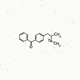 C[Te]C(C)Cc1ccc(C(=O)c2ccccc2)cc1